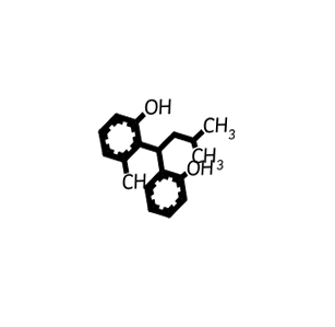 Cc1cccc(O)c1C(CC(C)C)c1ccccc1O